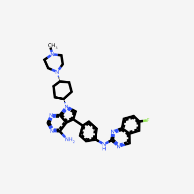 CN1CCN([C@H]2CC[C@@H](n3cc(-c4ccc(Nc5ncc6cc(F)ccc6n5)cc4)c4c(N)ncnc43)CC2)CC1